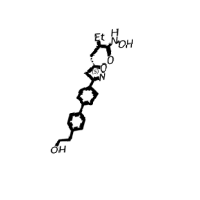 CCC(C[C@H]1CC(c2ccc(-c3ccc(CCO)cc3)cc2)=NO1)C(=O)NO